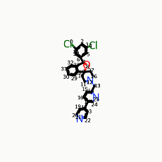 Clc1cc(Cl)cc(C2OC3(CCN(Cc4ccc(-c5ccncc5)cn4)CC3)c3ccccc32)c1